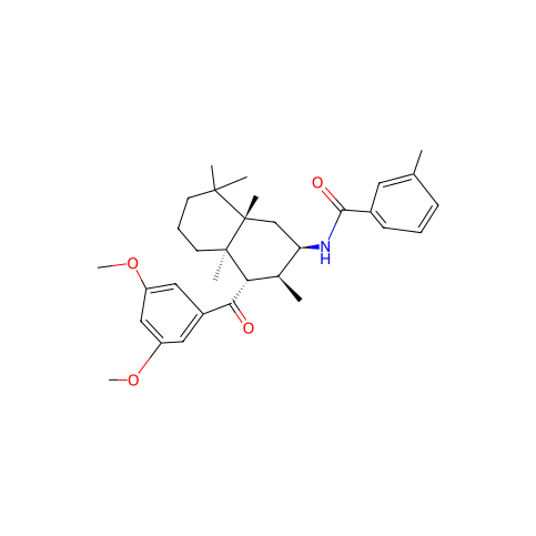 COc1cc(OC)cc(C(=O)[C@H]2[C@H](C)[C@H](NC(=O)c3cccc(C)c3)C[C@@]3(C)C(C)(C)CCC[C@]23C)c1